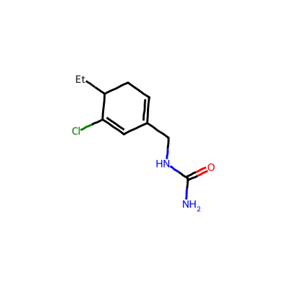 CCC1CC=C(CNC(N)=O)C=C1Cl